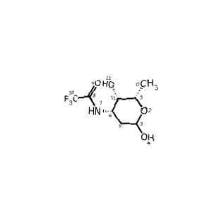 C[C@@H]1OC(O)C[C@H](NC(=O)C(F)(F)F)[C@@H]1O